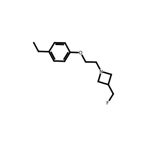 CCc1ccc(OCCN2CC(CF)C2)cc1